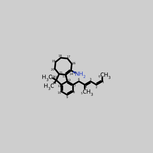 C/C=C\C=C(/C)Cc1cccc2c1/C1=C(\N)CCCCCC1C2(C)C